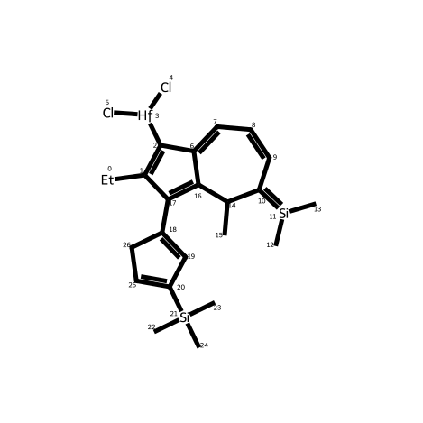 CCC1=[C]([Hf]([Cl])[Cl])C2=CC=CC(=[Si](C)C)C(C)C2=C1C1=CC([Si](C)(C)C)=CC1